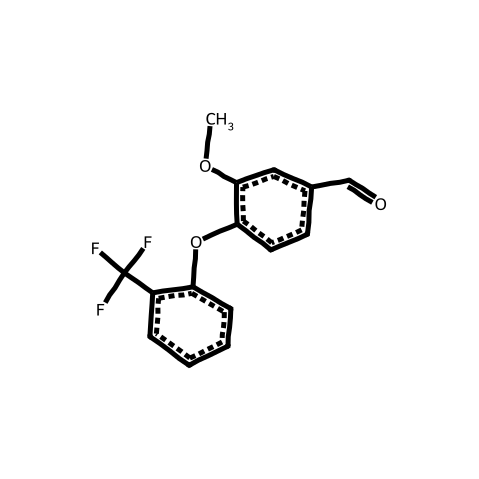 COc1cc(C=O)ccc1Oc1ccccc1C(F)(F)F